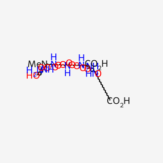 CN[C@@H](CCCCNC(=O)COCCOCCNC(=O)COCCOCCNC(=O)CCC(NC(=O)C1CCC(CNC(=O)CCCCCCCCCCCCCCCCCCC(=O)O)CC1)C(=O)O)C(=O)CNC(Cc1ccc(O)cc1)C(N)=O